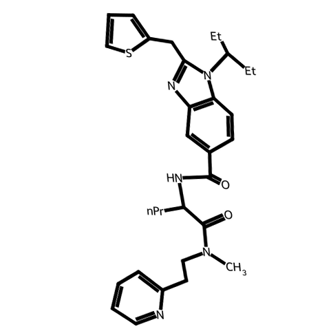 CCCC(NC(=O)c1ccc2c(c1)nc(Cc1cccs1)n2C(CC)CC)C(=O)N(C)CCc1ccccn1